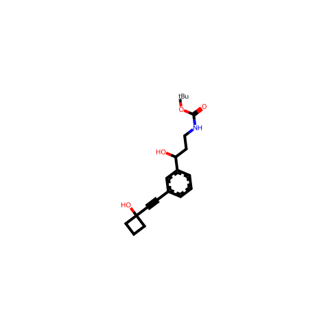 CC(C)(C)OC(=O)NCCC(O)c1cccc(C#CC2(O)CCC2)c1